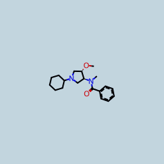 CO[C@H]1CN(C2CCCCC2)C[C@@H]1N(C)C(=O)c1ccccc1